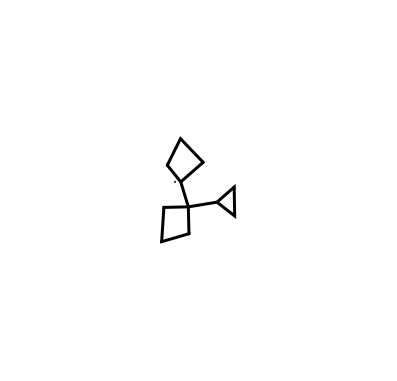 C1C[C](C2(C3CC3)CCC2)C1